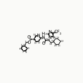 O=C(OCc1ccccc1)c1ccc(NC(=O)C(CC2CCCCC2)n2cnc(C(F)(F)F)c2)nc1